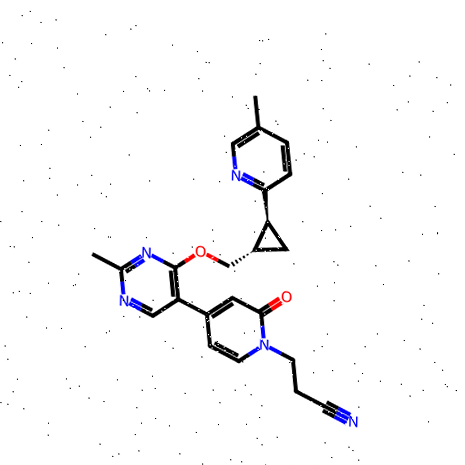 Cc1ccc([C@H]2C[C@@H]2COc2nc(C)ncc2-c2ccn(CCC#N)c(=O)c2)nc1